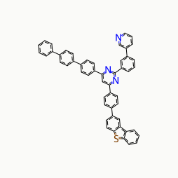 c1ccc(-c2ccc(-c3ccc(-c4cc(-c5ccc(-c6ccc7sc8ccccc8c7c6)cc5)nc(-c5cccc(-c6cccnc6)c5)n4)cc3)cc2)cc1